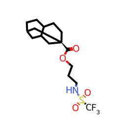 O=C(OCCCNS(=O)(=O)C(F)(F)F)[C@@]12CCC3CCC(CC3C1)C2